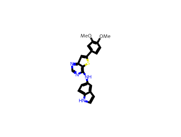 COc1ccc(-c2cc3ncnc(Nc4ccc5[nH]ccc5c4)c3s2)cc1OC